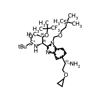 C[C@@H](OC(C)(C)C(F)(F)F)[C@H](N[S@+]([O-])C(C)(C)C)c1nc2cc([C@H](N)COC3CC3)ccc2n1COCC[Si](C)(C)C